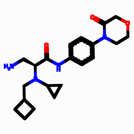 NC[C@@H](C(=O)Nc1ccc(N2CCOCC2=O)cc1)N(CC1CCC1)C1CC1